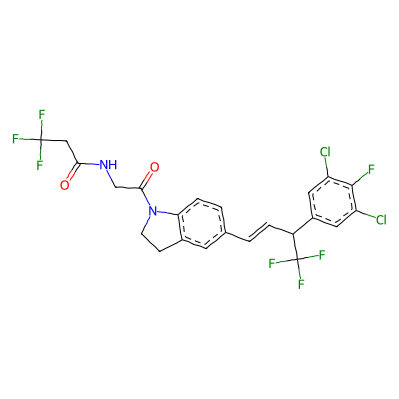 O=C(CC(F)(F)F)NCC(=O)N1CCc2cc(/C=C/C(c3cc(Cl)c(F)c(Cl)c3)C(F)(F)F)ccc21